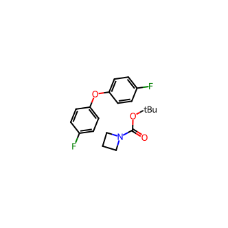 CC(C)(C)OC(=O)N1CCC1.Fc1ccc(Oc2ccc(F)cc2)cc1